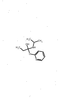 CCC(O)(NC(C)C)Oc1ccccn1